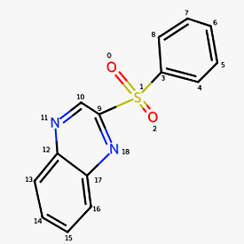 O=S(=O)(c1ccccc1)c1cnc2ccccc2n1